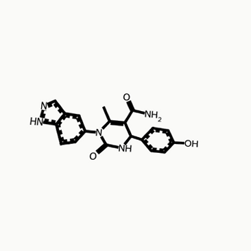 CC1=C(C(N)=O)C(c2ccc(O)cc2)NC(=O)N1c1ccc2[nH]ncc2c1